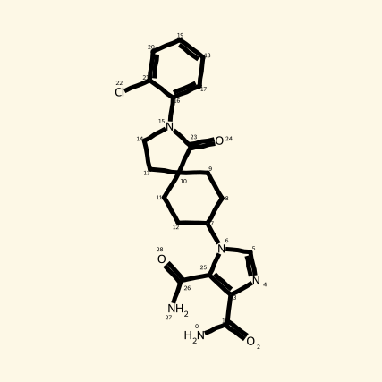 NC(=O)c1ncn(C2CCC3(CC2)CCN(c2ccccc2Cl)C3=O)c1C(N)=O